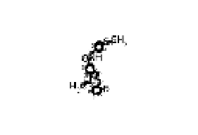 C=CCn1c(Cc2ccccc2F)cc2cc(C(=O)NCc3ccc(SCC)cc3)ccc21